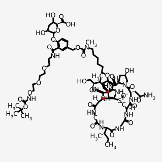 CC[C@H](C)C1NC(=O)CNC(=O)[C@@H]2Cc3c([nH]c4cc(OCCCCCCN(C)C(=O)OCc5ccc(OC6O[C@H](C(=O)O)C(O)CC6O)c(C(=O)NCCOCCOCCONC(=O)OC(C)(C)C)c5)ccc34)[S+]([O-])C[C@H](NC(=O)CNC1=O)C(=O)N[C@@H](CC(N)=O)C(=O)N1C[C@H](O)C[C@H]1C(=O)NC(C(C)[C@@H](O)CO)C(=O)N2